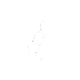 N#Cc1cc2c(cc1F)[C@H](N)CC2